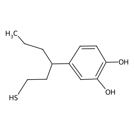 CCCC(CCS)c1ccc(O)c(O)c1